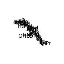 CC(C)c1cccc(N2CCC(N3CCN(c4ccc(Nc5nc(-c6ccnc(N7CCn8c(cc9c8CC(C)(C)C9)C7=O)c6CO)cn(C)c5=O)cc4C=CC(=O)NC=O)[C@@H](C)C3)CC2)n1